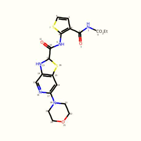 CCOC(=O)NC(=O)c1ccsc1NC(=O)C1Nc2cnc(N3CCOCC3)cc2S1